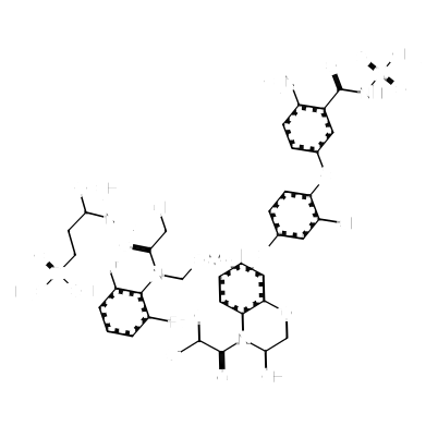 CC1COc2ccccc2N1C(=O)C(Cl)Cl.CCc1cccc(CC)c1N(COC)C(=O)CCl.CP(=O)(O)CCC(N)C(=O)O.CS(=O)(=O)NC(=O)c1cc(Oc2ccc(C(F)(F)F)cc2Cl)ccc1[N+](=O)[O-]